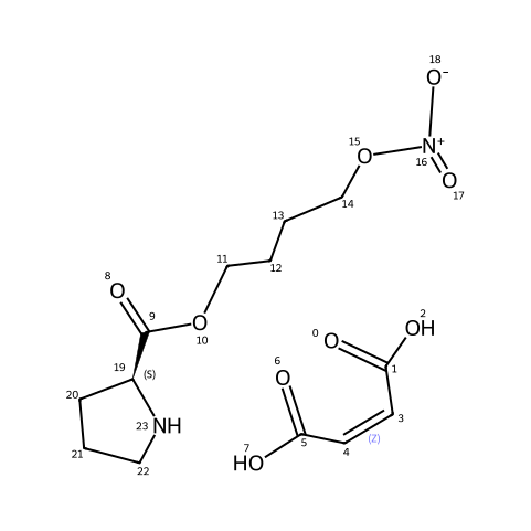 O=C(O)/C=C\C(=O)O.O=C(OCCCCO[N+](=O)[O-])[C@@H]1CCCN1